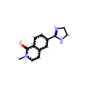 Cn1ccc2cc(C3=NCCN3)ccc2c1=O